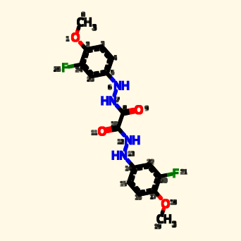 COc1ccc(NNC(=O)C(=O)NNc2ccc(OC)c(F)c2)cc1F